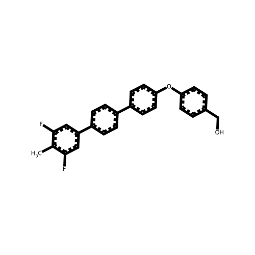 Cc1c(F)cc(-c2ccc(-c3ccc(Oc4ccc(CO)cc4)cc3)cc2)cc1F